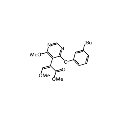 COC=C(C(=O)OC)c1c(OC)ncnc1Oc1cccc(C(C)(C)C)c1